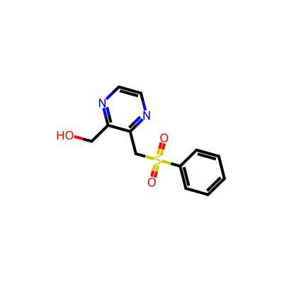 O=S(=O)(Cc1nccnc1CO)c1ccccc1